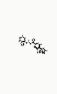 CCC1CCCCC1CCCC(=O)c1ccc(-c2ccn[nH]2)cc1